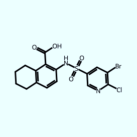 O=C(O)c1c(NS(=O)(=O)c2cnc(Cl)c(Br)c2)ccc2c1CCCC2